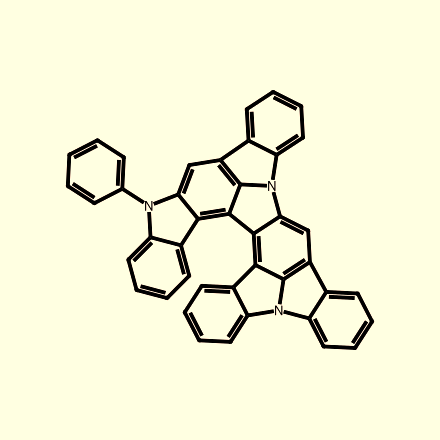 c1ccc(-n2c3ccccc3c3c4c5c6c7ccccc7n7c8ccccc8c(cc5n5c8ccccc8c(cc32)c45)c67)cc1